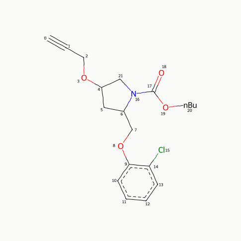 C#CCOC1CC(COc2ccccc2Cl)N(C(=O)OCCCC)C1